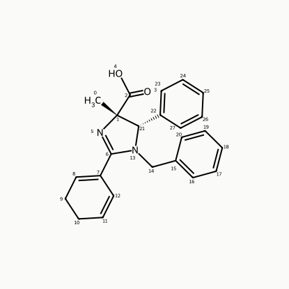 C[C@]1(C(=O)O)N=C(C2=CCCC=C2)N(Cc2ccccc2)[C@H]1c1ccccc1